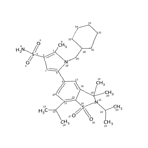 Cc1c(S(N)(=O)=O)cc(-c2cc(C(C)C)c3c(c2)C(C)(C)N(C(C)C)S3(=O)=O)n1CC1CCCCC1